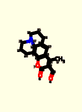 Cc1c(C=O)c(=O)oc2c3c4c(cc12)CCCN4CCC3